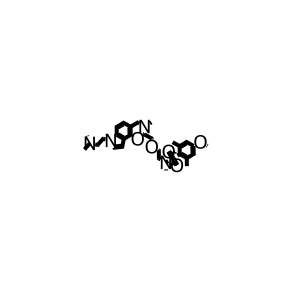 COc1cc(C)c(S(=O)(=O)N(C)CCOCC(=O)N(C)Cc2ccc3c(ccn3CCN(C)C)c2)c(C)c1